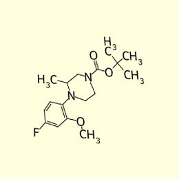 COc1cc(F)ccc1N1CCN(C(=O)OC(C)(C)C)CC1C